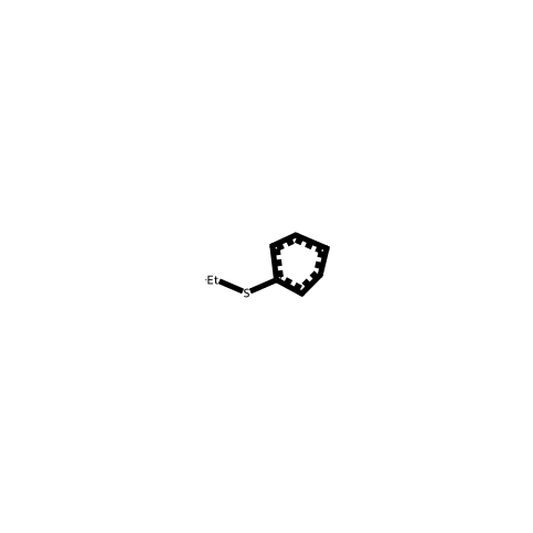 C[CH]Sc1ccccc1